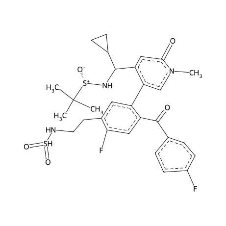 Cn1cc(-c2cc(CCN[SH](=O)=O)c(F)cc2C(=O)c2ccc(F)cc2)c(C(N[S@@+]([O-])C(C)(C)C)C2CC2)cc1=O